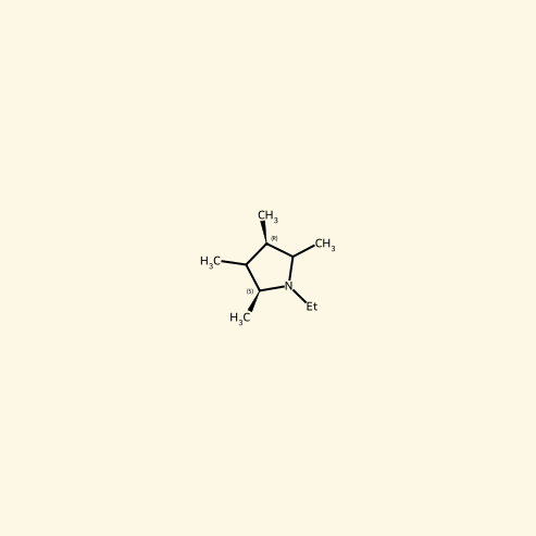 CCN1C(C)[C@H](C)C(C)[C@@H]1C